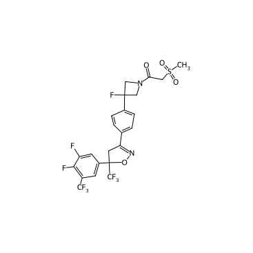 CS(=O)(=O)CC(=O)N1CC(F)(c2ccc(C3=NOC(c4cc(F)c(F)c(C(F)(F)F)c4)(C(F)(F)F)C3)cc2)C1